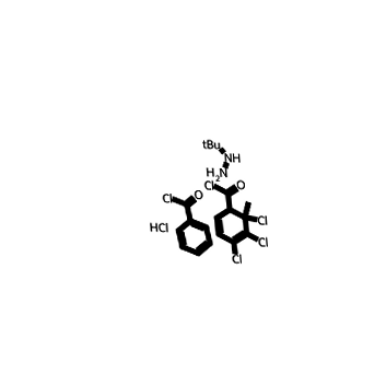 CC(C)(C)NN.CC1(Cl)C(Cl)=C(Cl)C=CC1C(=O)Cl.Cl.O=C(Cl)c1ccccc1